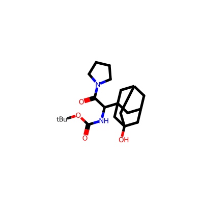 CC(C)(C)OC(=O)NC(C(=O)N1CCCC1)C12CC3CC(CC(O)(C3)C1)C2